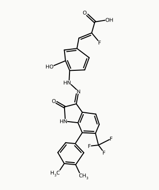 Cc1ccc(-c2c(C(F)(F)F)ccc3c2NC(=O)C3=NNc2ccc(C=C(F)C(=O)O)cc2O)cc1C